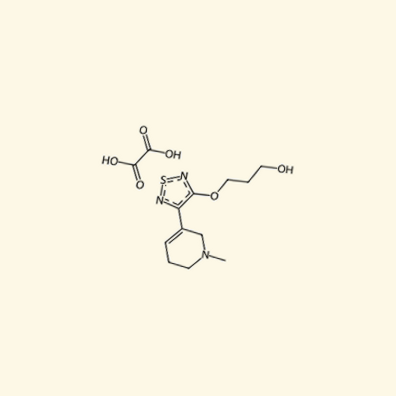 CN1CCC=C(c2nsnc2OCCCO)C1.O=C(O)C(=O)O